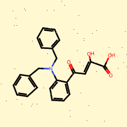 O=C(O)/C(O)=C/C(=O)c1ccccc1N(Cc1ccccc1)Cc1ccccc1